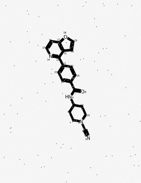 N#CN1CCC(NC(=O)c2ccc(-c3nccc4occc34)cc2)CC1